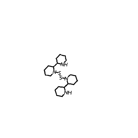 C1CCC(C2CCCCN2SSN2CCCCC2C2CCCCN2)NC1